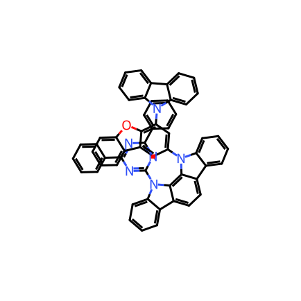 c1ccc(-c2nc(-c3ccccc3)nc(-n3c4ccccc4c4ccc5c6ccccc6n(-c6cc(-n7c8ccccc8c8ccccc87)c7oc8ccccc8c7c6)c5c43)n2)cc1